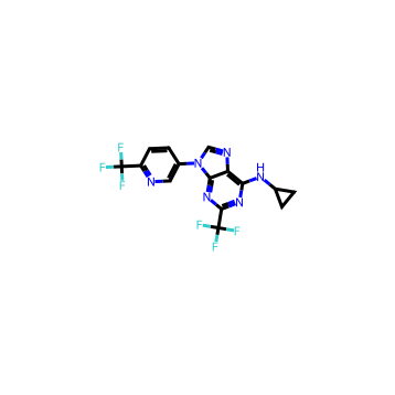 FC(F)(F)c1ccc(-n2cnc3c(NC4CC4)nc(C(F)(F)F)nc32)cn1